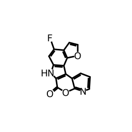 O=c1oc2ncccc2c2c1[nH]c1cc(F)c3ccoc3c12